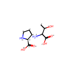 CC(O)C(N)C(=O)O.O=C(O)[C@@H]1CCCN1